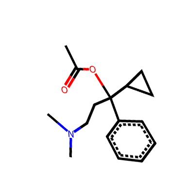 CC(=O)OC(CCN(C)C)(c1ccccc1)C1CC1